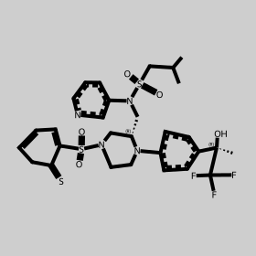 CC(C)CS(=O)(=O)N(C[C@H]1CN(S(=O)(=O)C2=CC=CCC2=S)CCN1c1ccc([C@@](C)(O)C(F)(F)F)cc1)c1cccnc1